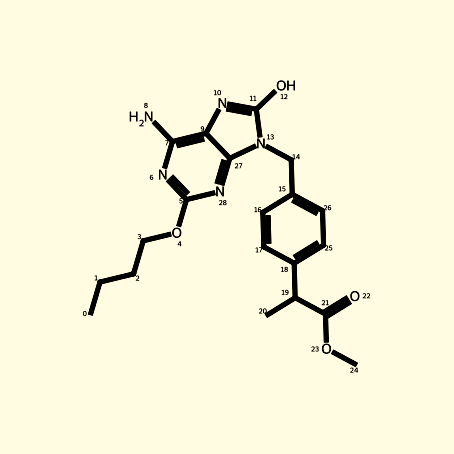 CCCCOc1nc(N)c2nc(O)n(Cc3ccc(C(C)C(=O)OC)cc3)c2n1